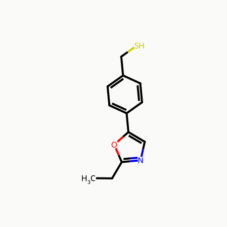 CCc1ncc(-c2ccc(CS)cc2)o1